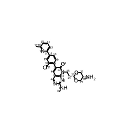 CNc1ncc2cc(-c3ccc(-c4cccc(C)n4)cc3Cl)c(=O)n(CC[C@H]3OC[C@@H](N)CO3)c2n1